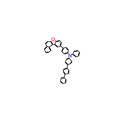 c1ccc(-c2ccc(-c3ccc(N(c4ccccc4)c4ccc(-c5ccc6oc7ccc8ccccc8c7c6c5)cc4)cc3)cc2)cc1